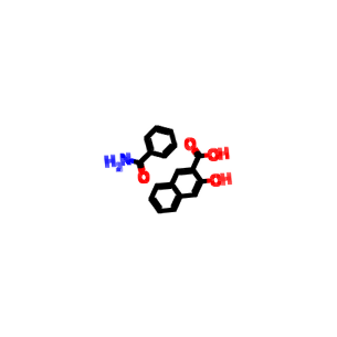 NC(=O)c1ccccc1.O=C(O)c1cc2ccccc2cc1O